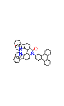 O=c1c2ccc3c4ccccc4n(-c4ccccc4)c3c2c2c(ccc3c4ccccc4n(-c4ccccc4)c32)n1-c1ccc2c3ccccc3c3ccccc3c2c1